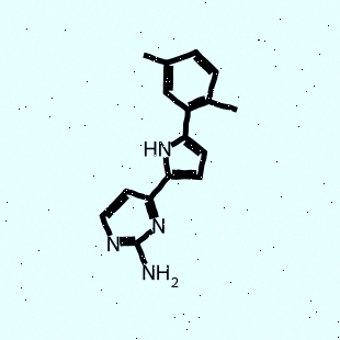 Cc1ccc(C)c(-c2ccc(-c3ccnc(N)n3)[nH]2)c1